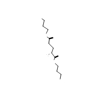 CCCCOC(=O)CC[C@H](N)C(=O)OCCCC.Cl